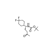 CC(=O)CC[C@H](NC(=O)OC(C)(C)C)C1CCC(F)(F)CC1